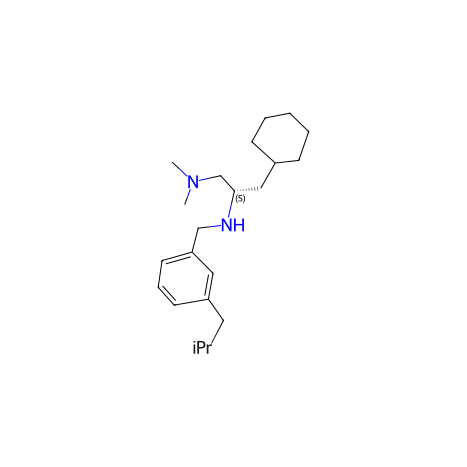 CC(C)Cc1cccc(CN[C@@H](CC2CCCCC2)CN(C)C)c1